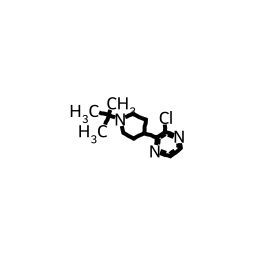 CC(C)(C)N1CCC(c2nccnc2Cl)CC1